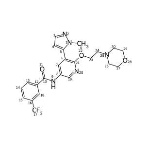 Cn1nccc1-c1cc(NC(=O)c2cccc(C(F)(F)F)c2)cnc1OCCN1CCOCC1